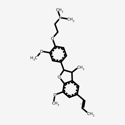 C/C=C/c1cc(OC)c2c(c1)C(C)C(c1ccc(OCCN(C)C)c(OC)c1)O2